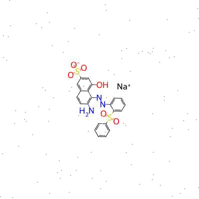 Nc1ccc2cc(S(=O)(=O)[O-])cc(O)c2c1N=Nc1ccccc1S(=O)(=O)c1ccccc1.[Na+]